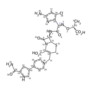 C[C@H](O/N=C(\C(=O)N[C@@H]1C(=O)N2C(C(=O)O)=C(C[n+]3ccc(-c4c[nH]c(C(N)=O)c4)cc3)CSC12)c1nc(N)sc1Cl)C(=O)O